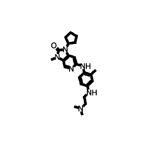 Cc1cc(NCCN(C)C)ccc1Nc1cc2c(cn1)n(C)c(=O)n2C1CCCC1